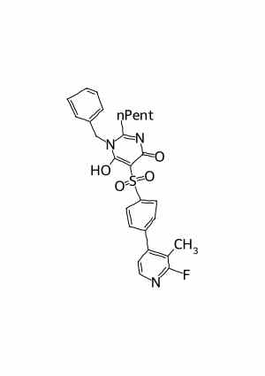 CCCCCc1nc(=O)c(S(=O)(=O)c2ccc(-c3ccnc(F)c3C)cc2)c(O)n1Cc1ccccc1